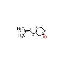 CC(C)=CCC1CCCC(=O)C1